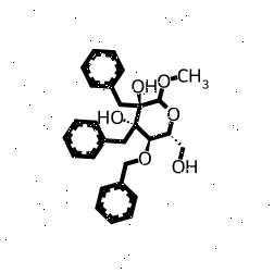 COC1O[C@H](CO)[C@@H](OCc2ccccc2)[C@@](O)(Cc2ccccc2)[C@]1(O)Cc1ccccc1